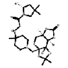 CC1(C)C[C@@H](C#N)N(C(=O)CNC2(C)CCN(C[C@@]34OC[C@H]5OC(=O)O[C@H]5[C@@H]3OC(C)(C)O4)CC2)C1